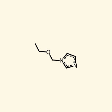 CCOCn1[c]ncc1